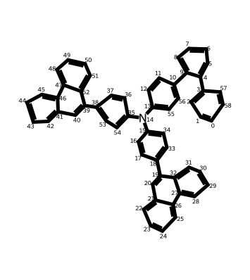 c1ccc(-c2ccccc2-c2ccc(N(c3ccc(-c4cc5ccccc5c5ccccc45)cc3)c3ccc(-c4cc5ccccc5c5ccccc45)cc3)cc2)cc1